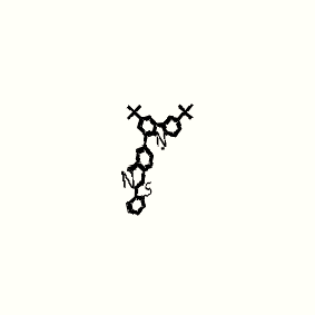 Cn1c2ccc(C(C)(C)C)cc2c2cc(C(C)(C)C)cc(-c3ccc4c(cnc5c6ccccc6sc45)c3)c21